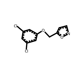 Clc1cc(Cl)cc(OCc2ccno2)c1